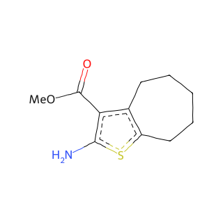 COC(=O)c1c(N)sc2c1CCCCC2